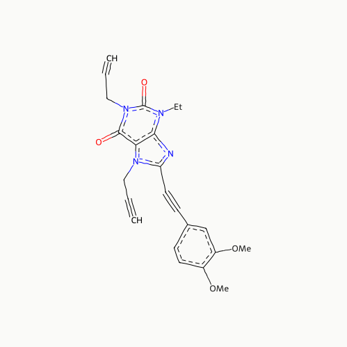 C#CCn1c(=O)c2c(nc(C#Cc3ccc(OC)c(OC)c3)n2CC#C)n(CC)c1=O